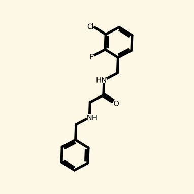 O=C(CNCc1ccccc1)NCc1cccc(Cl)c1F